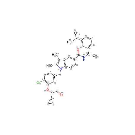 Cc1c(C)n(Cc2ccc(Cl)c(OC(C=O)C3CC3)c2)c2ccc(C(=O)N[C@@H](C)c3cccc(C(C)C)c3)cc12